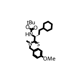 COc1ccc(CN(C)C(=S)[C@@H](CCC2CCCCC2)NC(=O)OC(C)(C)C)cc1